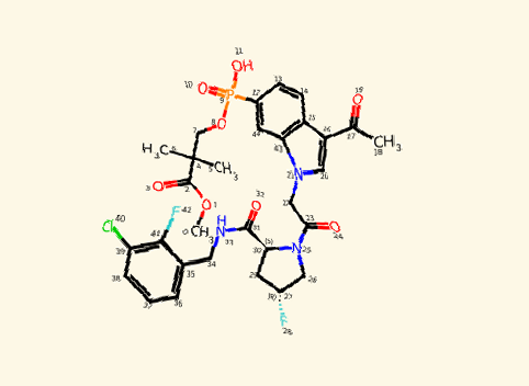 COC(=O)C(C)(C)COP(=O)(O)c1ccc2c(C(C)=O)cn(CC(=O)N3C[C@H](F)C[C@H]3C(=O)NCc3cccc(Cl)c3F)c2c1